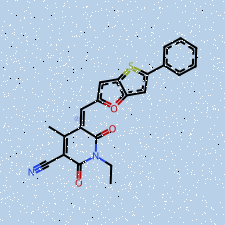 CCN1C(=O)C(C#N)=C(C)/C(=C/c2cc3sc(-c4ccccc4)cc3o2)C1=O